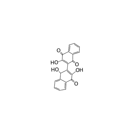 O=C1C(O)=C(C2=C(O)C(=O)c3ccccc3C2O)C(=O)c2ccccc21